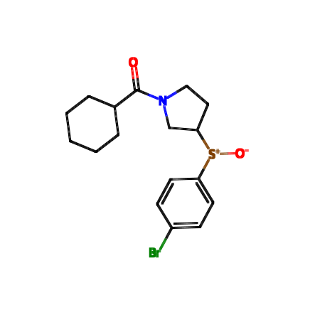 O=C(C1CCCCC1)N1CCC([S+]([O-])c2ccc(Br)cc2)C1